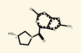 Cc1nc2nc(Cl)nc(C(=O)N3CC[C@H](O)C3)c2s1